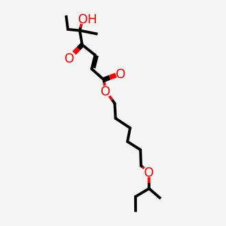 CCC(C)OCCCCCCOC(=O)/C=C/C(=O)C(C)(O)CC